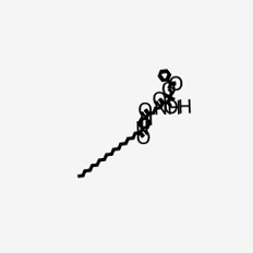 CCCCCCCCCCCCCCCCCC(=O)N1CCN(C(=O)CCNC(=O)C(O)C(C)(C)COC(=O)c2ccccc2)CC1